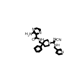 N#C/N=C(\NCc1cccnc1)N1CCC(CNC(=O)c2nccnc2N)(c2ccccc2)CC1